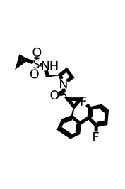 O=C([C@@H]1C[C@H]1c1ccccc1-c1c(F)cccc1F)N1CC[C@@H]1CNS(=O)(=O)C1CC1